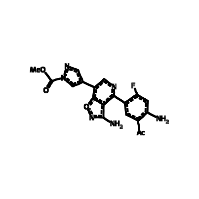 COC(=O)n1cc(-c2cnc(-c3cc(C(C)=O)c(N)cc3F)c3c(N)noc23)cn1